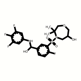 CC1(C)COCC(O)CN1S(=O)(=O)c1cc(C(O)Nc2cc(F)c(F)c(F)c2)ccc1F